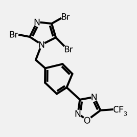 FC(F)(F)c1nc(-c2ccc(Cn3c(Br)nc(Br)c3Br)cc2)no1